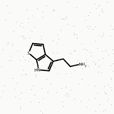 NCCc1c[nH]c2sccc12